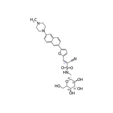 CN1CCN(c2ccc3cc(-c4ccc(/C=C(\C#N)S(=O)(=O)NC[C@H]5OC(CO)[C@H](O)[C@@H](O)[C@@H]5O)o4)ccc3c2)CC1